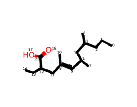 CCCC(C)CC(C)/C=C(\C)CC(CC)C(=O)O